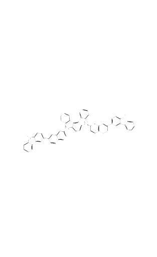 C1=Cc2c(n(-c3ccc4ccc(-c5ccc6sc7ccccc7c6c5)cc4c3)c3ccc4c(c5ccccc5n4C4C=CC5=C(C=C(c6ccc7sc8ccccc8c7c6)CC5)C4)c23)CC1